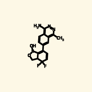 Cc1nnc(N)c2ccc(C3=C4B(O)OCC4C(F)(F)C=C3)cc12